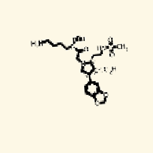 CCCCN(CCCCN)C(=O)CN1C[C@H](c2ccc3c(c2)OCO3)[C@@H](C(=O)O)[C@@H]1CCNS(C)(=O)=O